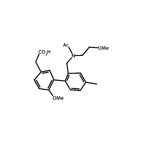 COCCN(Cc1cc(C)ccc1-c1cc(CC(=O)O)ccc1OC)C(C)=O